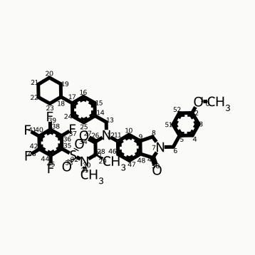 COc1ccc(CN2Cc3cc(N(Cc4ccc(C5CCCCC5)cc4)C(=O)[C@@H](C)N(C)S(=O)(=O)c4c(F)c(F)c(F)c(F)c4F)ccc3C2=O)cc1